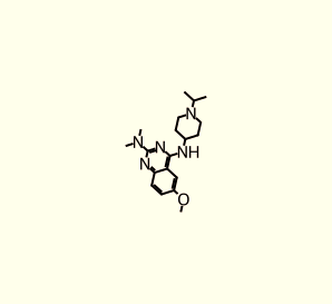 COc1ccc2nc(N(C)C)nc(NC3CCN(C(C)C)CC3)c2c1